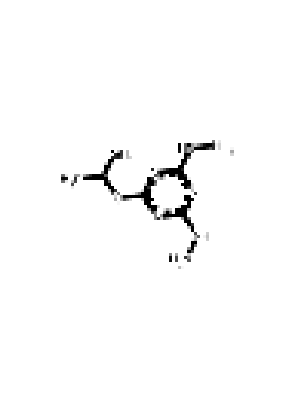 CC([SiH3])Oc1nc(NN)nc(NN)n1